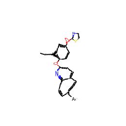 CC(=O)c1ccc2nc(Oc3ccc(Oc4nccs4)cc3C)ccc2c1